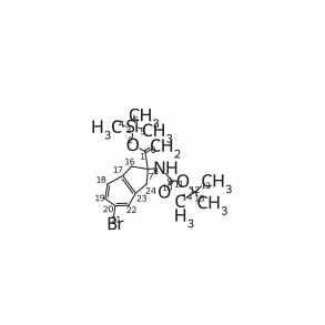 C=C(O[Si](C)(C)C)C1(NC(=O)OC(C)(C)C)Cc2ccc(Br)cc2C1